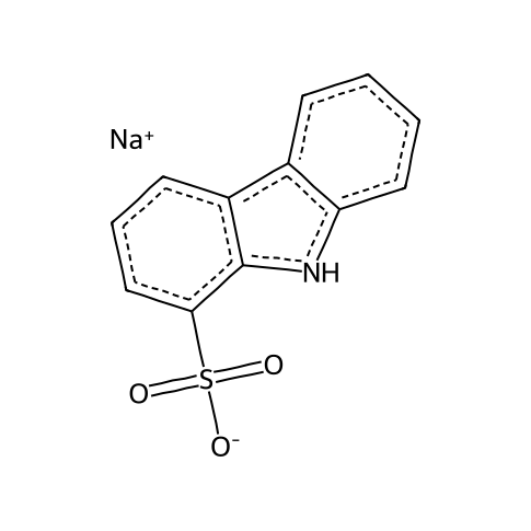 O=S(=O)([O-])c1cccc2c1[nH]c1ccccc12.[Na+]